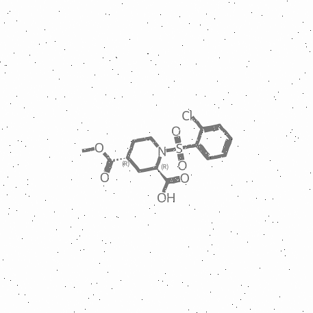 COC(=O)[C@@H]1CCN(S(=O)(=O)c2ccccc2Cl)[C@@H](C(=O)O)C1